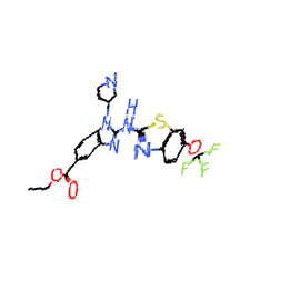 CCOC(=O)c1ccc2c(c1)nc(Nc1nc3ccc(OC(F)(F)F)cc3s1)n2C1CCN(C)C1